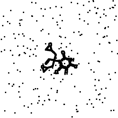 C=CC(CC1CO1)(CC1CO1)n1c(=O)[nH]c(=O)[nH]c1=O